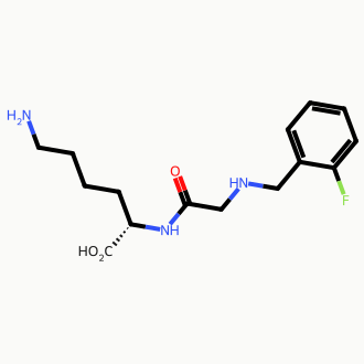 NCCCC[C@H](NC(=O)CNCc1ccccc1F)C(=O)O